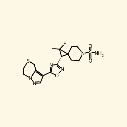 NS(=O)(=O)N1CCC2(CC1)[C@H](c1noc(-c3cnn4c3CSCC4)n1)C2(F)F